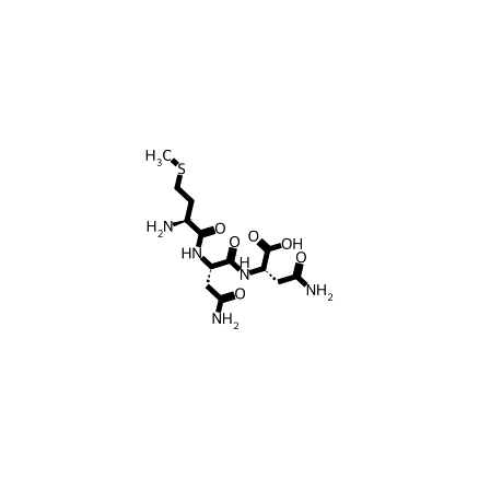 CSCC[C@H](N)C(=O)N[C@@H](CC(N)=O)C(=O)N[C@@H](CC(N)=O)C(=O)O